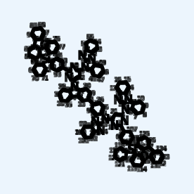 C1=C(c2nc(-n3c4ccccc4n4c5ccccc5nc34)cc(-n3c4ccc(-c5ccc6c(c5)c5ccccc5n6-c5cc(-n6c7ccccc7n7c8ccccc8nc67)nc(-c6ccc([Si](c7ccccc7)(c7ccccc7)c7cccc8c7oc7ccccc78)cc6)n5)cc4n4c5ccccc5nc34)n2)CCC([Si](c2ccccc2)(c2ccccc2)c2cccc3c2oc2ccccc23)=C1